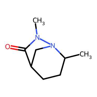 CC1CCC2CN1N(C)C2=O